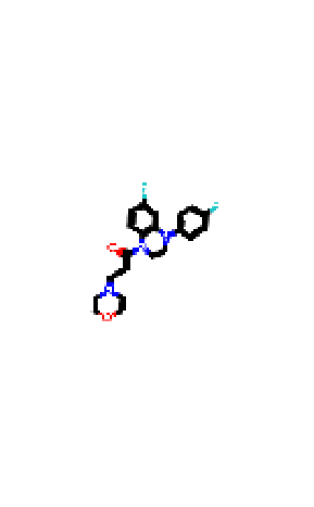 O=C(CCN1CCOCC1)N1CCN(c2ccc(F)cc2)c2cc(F)ccc21